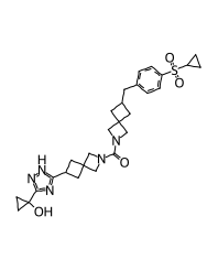 O=C(N1CC2(CC(Cc3ccc(S(=O)(=O)C4CC4)cc3)C2)C1)N1CC2(CC(c3nc(C4(O)CC4)n[nH]3)C2)C1